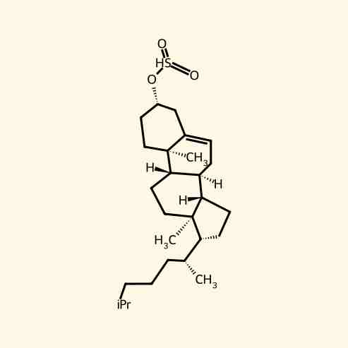 CC(C)CCC[C@@H](C)[C@H]1CC[C@H]2[C@@H]3CC=C4C[C@@H](O[SH](=O)=O)CC[C@]4(C)[C@H]3CC[C@]12C